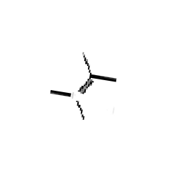 CC(C)=[N+](C)C.[Cl-]